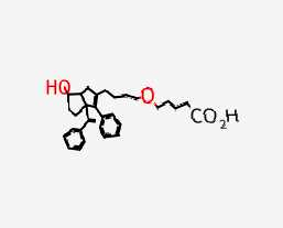 C=C(c1ccccc1)C12CCC(O)C1CC(CCCCOCCCCC(=O)O)=C2c1ccccc1